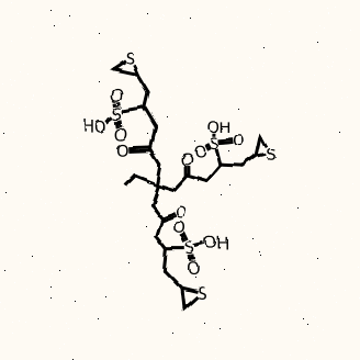 CCC(CC(=O)CC(CC1CS1)S(=O)(=O)O)(CC(=O)CC(CC1CS1)S(=O)(=O)O)CC(=O)CC(CC1CS1)S(=O)(=O)O